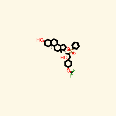 CC12CCC3C(CCC4CC(O)CC[C@@]43C)C1CC[C@@H]2CC(CC1(O)CCC(OC(F)F)CC1)S(=O)(=O)c1ccccc1